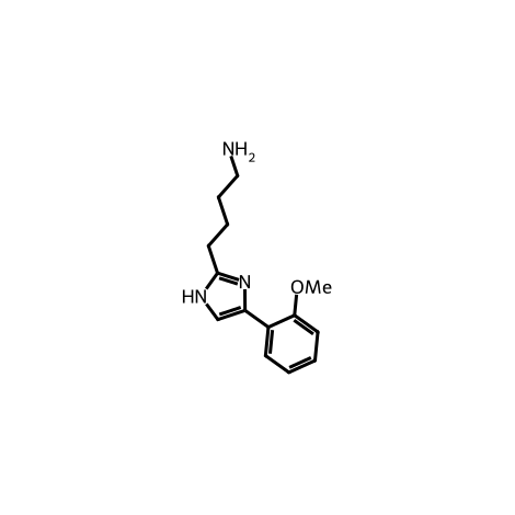 COc1ccccc1-c1c[nH]c(CCCCN)n1